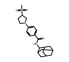 CS(=O)(=O)C1CCN(c2ccc(C(=O)NC3C4CC5CC(C4)CC3C5)cc2)C1